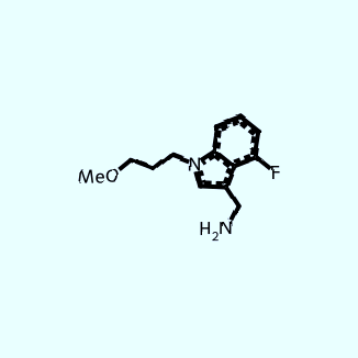 COCCCn1cc(CN)c2c(F)cccc21